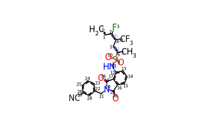 C=C/C(F)=C(\C=C(/C)S(=O)(=O)Nc1cccc2c1C(=O)N(Cc1cccc(C#N)c1)C2=O)C(F)(F)F